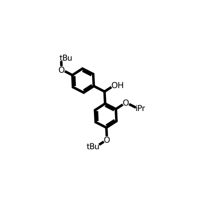 CC(C)Oc1cc(OC(C)(C)C)ccc1C(O)c1ccc(OC(C)(C)C)cc1